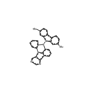 CC(C)(C)c1ccc2c3ccc(C(C)(C)C)cc3n(B3c4ccccc4-n4c5cncnc5c5cccc3c54)c2c1